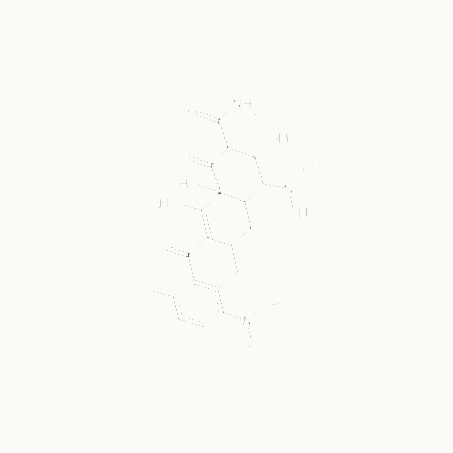 CN(C)c1ccc(O)c2c1CC1CC3C(N(C)C)C(O)C(C(N)=O)C(=O)C3(O)C(O)=C1C2=O